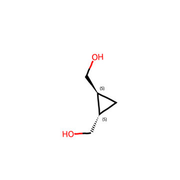 OC[C@H]1C[C@@H]1CO